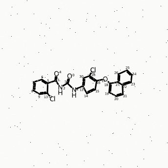 O=C(NC(=O)c1ccccc1Cl)Nc1ccc(Oc2cccc3ccccc23)c(Cl)c1